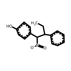 CCC(c1ccccc1)C(c1ccc(O)cc1)[N+](=O)[O-]